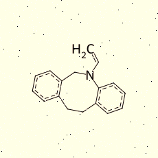 C=CN1Cc2ccccc2CCc2ccccc21